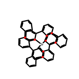 c1ccc(-c2cccc(-c3ccccc3)c2C[Si](Cc2c(-c3ccccc3)cccc2-c2ccccc2)Cc2c(-c3ccccc3)cccc2-c2ccccc2)cc1